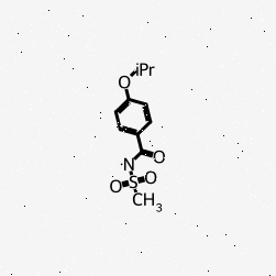 CC(C)Oc1ccc(C(=O)[N]S(C)(=O)=O)cc1